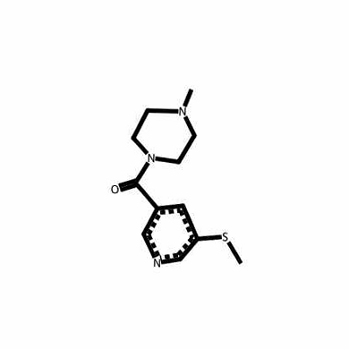 CSc1cncc(C(=O)N2CCN(C)CC2)c1